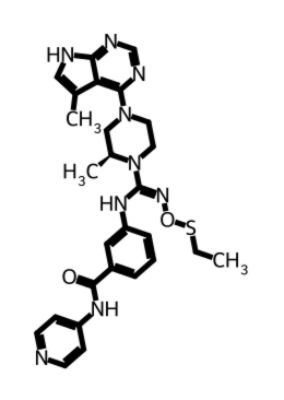 CCSON=C(Nc1cccc(C(=O)Nc2ccncc2)c1)N1CCN(c2ncnc3[nH]cc(C)c23)C[C@@H]1C